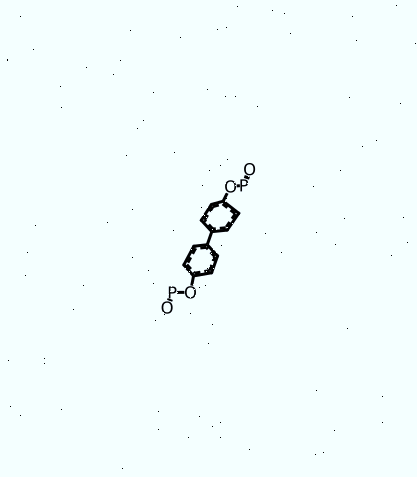 O=POc1ccc(-c2ccc(OP=O)cc2)cc1